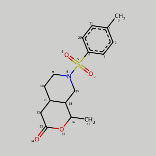 Cc1ccc(S(=O)(=O)N2CCC3CC(=O)OC(C)C3C2)cc1